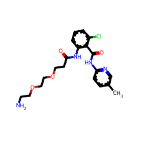 Cc1ccc(NC(=O)c2c(Cl)cccc2NC(=O)CCOCCOCCN)nc1